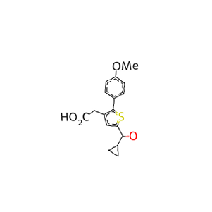 COc1ccc(-c2sc(C(=O)C3CC3)cc2CC(=O)O)cc1